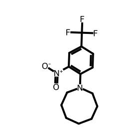 O=[N+]([O-])c1cc(C(F)(F)F)ccc1N1CCCCCCC1